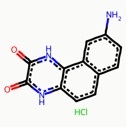 Cl.Nc1ccc2ccc3[nH]c(=O)c(=O)[nH]c3c2c1